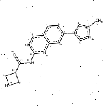 Cn1cc(-c2ccc3cnc(NC(=O)C4CNC4)nc3c2)cn1